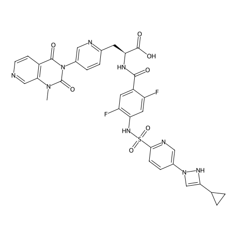 Cn1c(=O)n(-c2ccc(C[C@H](NC(=O)c3cc(F)c(NS(=O)(=O)c4ccc(-n5cc(C6CC6)[nH]5)cn4)cc3F)C(=O)O)nc2)c(=O)c2ccncc21